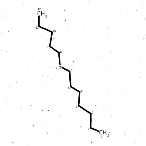 [CH2]CCCCCCSCCCCC